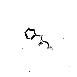 NC[PH](=O)Oc1ccccc1